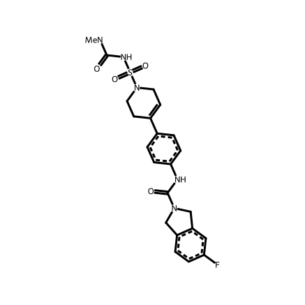 CNC(=O)NS(=O)(=O)N1CC=C(c2ccc(NC(=O)N3Cc4ccc(F)cc4C3)cc2)CC1